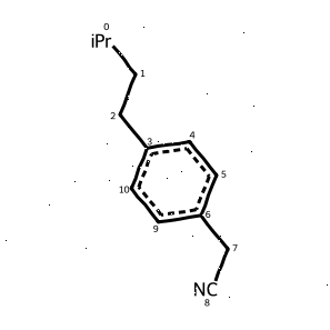 CC(C)CCc1ccc(CC#N)cc1